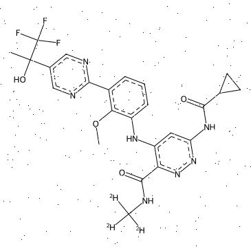 [2H]C([2H])([2H])NC(=O)c1nnc(NC(=O)C2CC2)cc1Nc1cccc(-c2ncc(C(C)(O)C(F)(F)F)cn2)c1OC